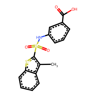 Cc1c(S(=O)(=O)Nc2cccc(C(=O)O)c2)sc2ccccc12